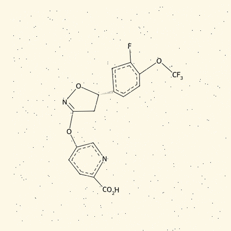 O=C(O)c1ccc(OC2=NO[C@H](c3ccc(OC(F)(F)F)c(F)c3)C2)cn1